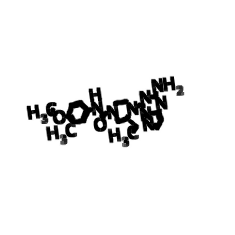 CC[C@H]1CN(C(=O)Nc2ccc(OC)c(C)c2)CCN1c1nc(N)nc2ccnn12